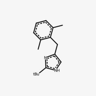 Cc1cccc(C)c1Cc1c[nH]c(C(C)(C)C)n1